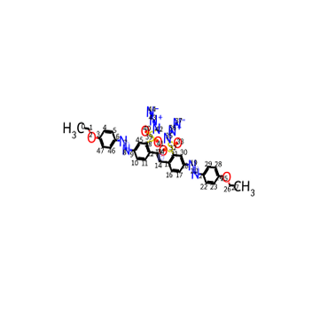 CCOc1ccc(/N=N/c2ccc(/C=C/c3ccc(/N=N/c4ccc(OCC)cc4)cc3S(=O)(=O)N=[N+]=[N-])c(S(=O)(=O)N=[N+]=[N-])c2)cc1